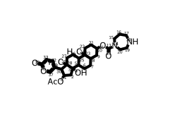 CC(=O)OC1CC2(O)C3CCC4CC(OC(=O)N5CCCNCC5)CCC4(C)C3CCC2(C)C1c1ccc(=O)oc1